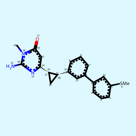 CSc1cccc(-c2cccc([C@@H]3C[C@@H]3c3cc(=O)n(C)c(N)n3)c2)c1